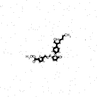 CCCCCC(CO)c1ccc(N2C(=O)C=C[C@@H]2COCc2ccc(C(=O)OC)s2)cc1